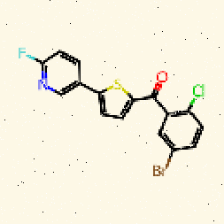 O=C(c1ccc(-c2ccc(F)nc2)s1)c1cc(Br)ccc1Cl